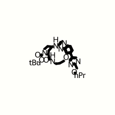 CCCOCc1ncc(-c2ccc3ncc4nc3c2OCCCNC(=O)C2CC(CCN2C(=O)OC(C)(C)C)N4)cn1